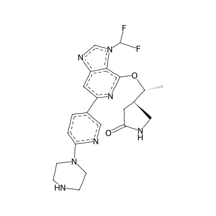 C[C@@H](Oc1nc(-c2ccc(N3CCNCC3)nc2)cc2ncn(C(F)F)c12)[C@H]1CNC(=O)C1